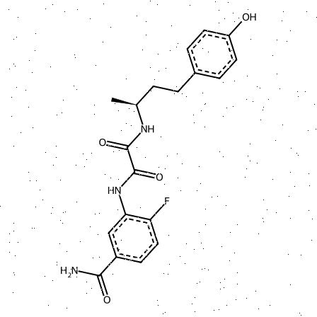 C[C@@H](CCc1ccc(O)cc1)NC(=O)C(=O)Nc1cc(C(N)=O)ccc1F